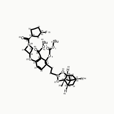 CC(C)(C)OC(=O)Oc1c(CCB2O[C@@H]3C[C@@H]4C[C@@H](C4(C)C)[C@]3(C)O2)ccc(OC2CN(C(=O)[C@H]3CC[C@@H](F)C3)C2)c1C(=O)OC(C)(C)C